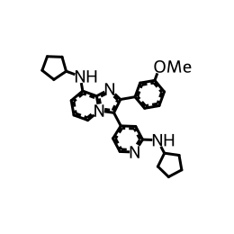 COc1cccc(-c2nc3c(NC4CCCC4)cccn3c2-c2ccnc(NC3CCCC3)c2)c1